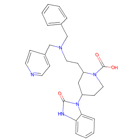 O=C(O)N1CCC(n2c(=O)[nH]c3ccccc32)CC1CCN(Cc1ccccc1)Cc1ccncc1